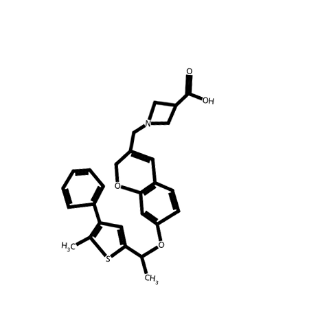 Cc1sc(C(C)Oc2ccc3c(c2)OCC(CN2CC(C(=O)O)C2)=C3)cc1-c1ccccc1